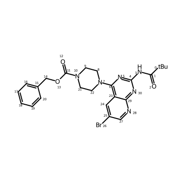 CC(C)(C)C(=O)Nc1nc(N2CCN(C(=O)OCc3ccccc3)CC2)c2cc(Br)cnc2n1